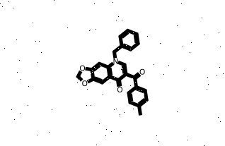 Cc1ccc(C(=O)c2cn(Cc3ccccc3)c3cc4c(cc3c2=O)OCO4)cc1